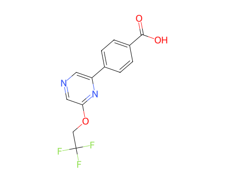 O=C(O)c1ccc(-c2cncc(OCC(F)(F)F)n2)cc1